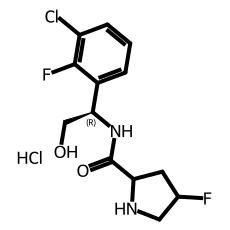 Cl.O=C(N[C@@H](CO)c1cccc(Cl)c1F)C1CC(F)CN1